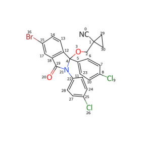 N#CC1(COC2(c3ccc(Cl)cc3)c3ccc(Br)cc3C(=O)N2c2ccc(Cl)cc2)CC1